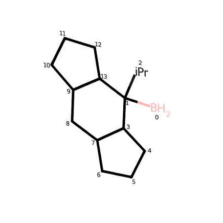 BC1(C(C)C)C2CCCC2CC2CCCC21